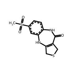 CS(=O)(=O)c1ccc2c(c1)NC1=C(CSC1)C(=O)N2